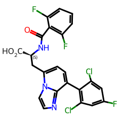 O=C(N[C@@H](Cc1ccc(-c2c(Cl)cc(F)cc2Cl)c2nccn12)C(=O)O)c1c(F)cccc1F